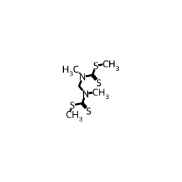 CSC(=S)N(C)CN(C)C(=S)SC